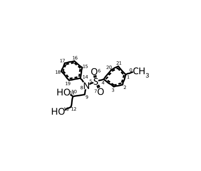 Cc1ccc(S(=O)(=O)N(CC(O)CO)c2ccccc2)cc1